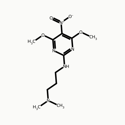 COc1nc(NCCCN(C)C)nc(OC)c1[N+](=O)[O-]